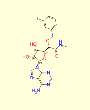 CNC(=O)C(OCc1cccc(I)c1)[C@H]1O[C@@H](n2cnc3c(N)ncnc32)[C@H](O)[C@@H]1O